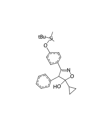 CC(C)(C)[Si](C)(C)Oc1ccc(C2=NOC(O)(C3CC3)C2c2ccccc2)cc1